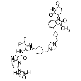 Cn1c(=O)n(C2CCC(=O)NC2=O)c2cccc([C@H]3C[C@H](CN4CCN(C[C@H]5CC[C@H](n6cc(NC(=O)c7cnn8ccc(N9C[C@H]%10C[C@@H]9CO%10)nc78)c(C(F)F)n6)CC5)CC4)C3)c21